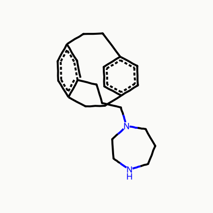 c1cc2ccc1CCc1ccc(c(CCCN3CCCNCC3)c1)CC2